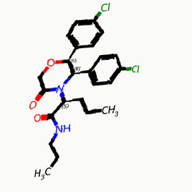 CCCNC(=O)[C@H](CCC)N1C(=O)CO[C@@H](c2ccc(Cl)cc2)[C@H]1c1ccc(Cl)cc1